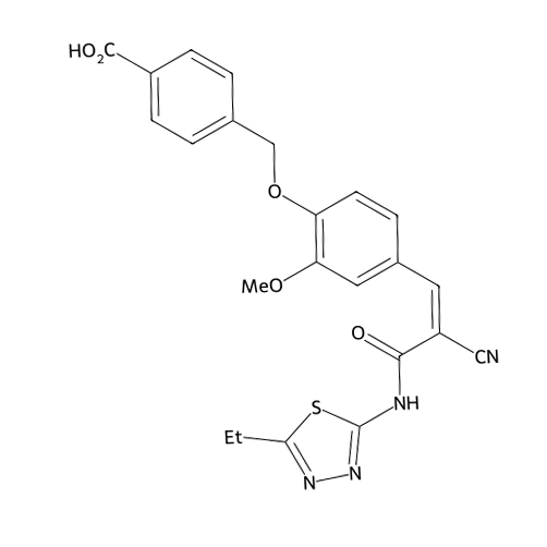 CCc1nnc(NC(=O)C(C#N)=Cc2ccc(OCc3ccc(C(=O)O)cc3)c(OC)c2)s1